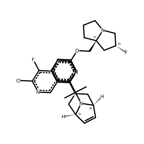 CC(C)(c1ccccc1)N1[C@@H]2C=C[C@H]1CN(c1nc(OC[C@@]34CCCN3C[C@H](F)C4)nc3c(F)c(Cl)ncc13)C2